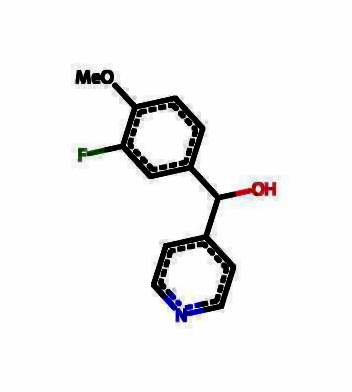 COc1ccc(C(O)c2ccncc2)cc1F